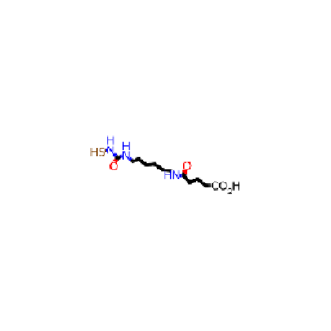 O=C(O)CCCC(=O)NCCCCCCNC(=O)NS